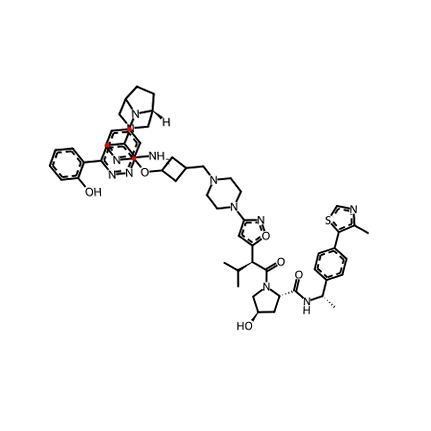 Cc1ncsc1-c1ccc([C@H](C)NC(=O)[C@@H]2C[C@@H](O)CN2C(=O)[C@H](c2cc(N3CCN(CC4CC(Oc5cc(N6C7CC[C@@H]6CN(c6cc(-c8ccccc8O)nnc6N)C7)ccn5)C4)CC3)no2)C(C)C)cc1